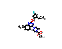 C=CC1C[C@H](F)C[C@H]1COc1nc2c(c(N3CCN(C(=O)OC(C)(C)C)CC3)n1)CCCC(=C)C2